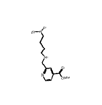 CCN(CC)CCCCNCc1cc(C(=O)OC)ccn1